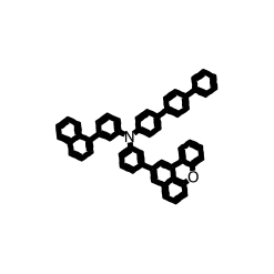 c1ccc(-c2ccc(-c3ccc(N(c4cccc(-c5cc6c7c(cccc7c5)Oc5ccccc5-6)c4)c4cccc(-c5cccc6ccccc56)c4)cc3)cc2)cc1